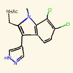 CC(=O)NCc1c(-c2cn[nH]c2)c2ccc(Cl)c(Cl)c2n1C